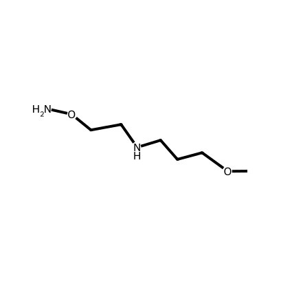 COCCCNCCON